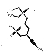 CC#CC(CCOP(=O)(OC)OC)CS(=O)(=O)O